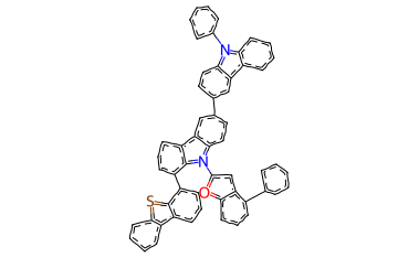 c1ccc(-c2cccc3oc(-n4c5ccc(-c6ccc7c(c6)c6ccccc6n7-c6ccccc6)cc5c5cccc(-c6cccc7c6sc6ccccc67)c54)cc23)cc1